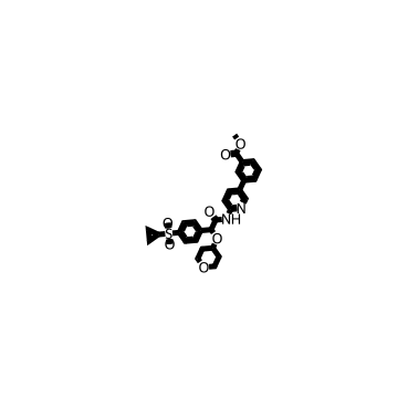 COC(=O)c1cccc(-c2ccc(NC(=O)C(OC3CCOCC3)c3ccc(S(=O)(=O)C4CC4)cc3)nc2)c1